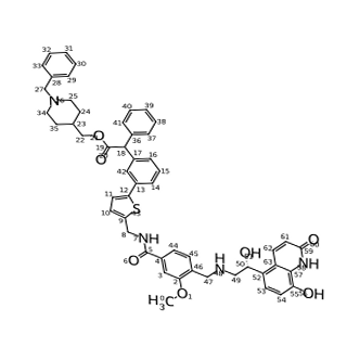 COc1cc(C(=O)NCc2ccc(-c3cccc(C(C(=O)OCC4CCN(Cc5ccccc5)CC4)c4ccccc4)c3)s2)ccc1CNC[C@H](O)c1ccc(O)c2[nH]c(=O)ccc12